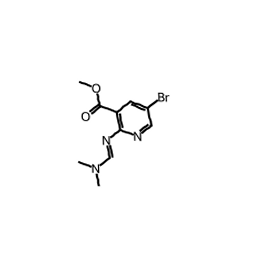 COC(=O)c1cc(Br)cnc1N=CN(C)C